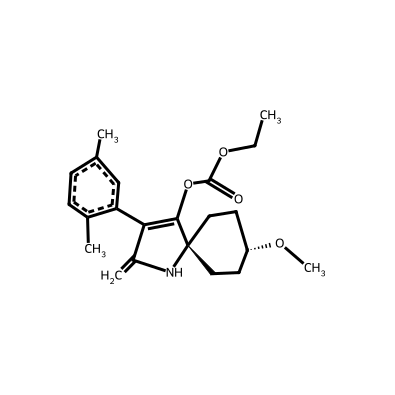 C=C1N[C@]2(CC[C@@H](OC)CC2)C(OC(=O)OCC)=C1c1cc(C)ccc1C